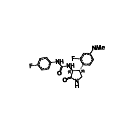 CNc1ccc([C@@H]2CNC(=O)[C@H]2NC(=O)Nc2ccc(F)cc2)c(F)c1